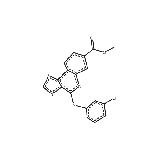 COC(=O)c1ccc2c(c1)nc(Nc1cccc(Cl)c1)c1ncsc12